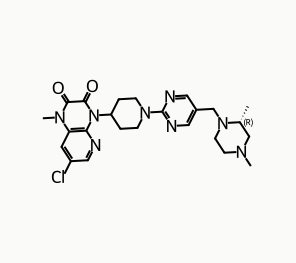 C[C@@H]1CN(C)CCN1Cc1cnc(N2CCC(n3c(=O)c(=O)n(C)c4cc(Cl)cnc43)CC2)nc1